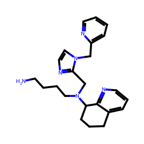 NCCCCN(Cc1nccn1Cc1ccccn1)C1CCCc2cccnc21